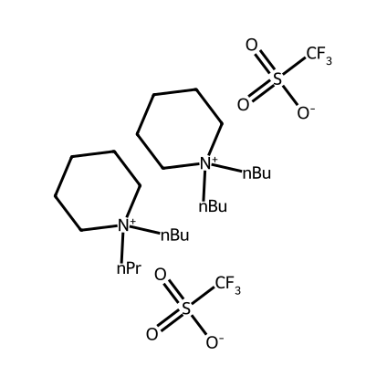 CCCC[N+]1(CCC)CCCCC1.CCCC[N+]1(CCCC)CCCCC1.O=S(=O)([O-])C(F)(F)F.O=S(=O)([O-])C(F)(F)F